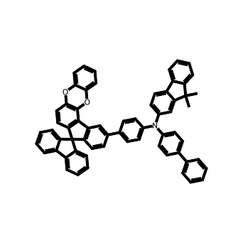 CC1(C)c2ccccc2-c2ccc(N(c3ccc(-c4ccccc4)cc3)c3ccc(-c4ccc5c(c4)-c4c(ccc6c4Oc4ccccc4O6)C54c5ccccc5-c5ccccc54)cc3)cc21